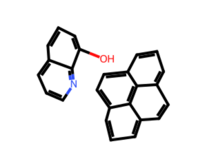 Oc1cccc2cccnc12.c1cc2ccc3cccc4ccc(c1)c2c34